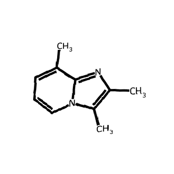 Cc1nc2c(C)cccn2c1C